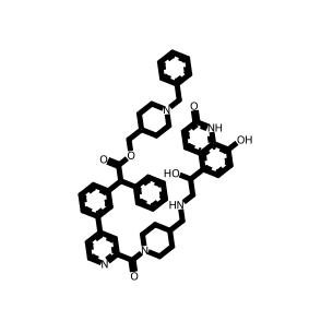 O=C(OCC1CCN(Cc2ccccc2)CC1)C(c1ccccc1)c1cccc(-c2ccnc(C(=O)N3CCC(CNCC(O)c4ccc(O)c5[nH]c(=O)ccc45)CC3)c2)c1